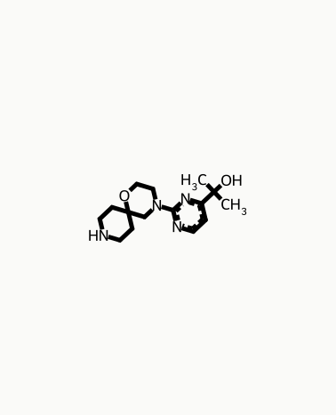 CC(C)(O)c1ccnc(N2CCOC3(CCNCC3)C2)n1